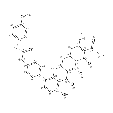 COc1ccc(OC(=O)Nc2ccc(-c3ccc(O)c4c3CC3CC5CC(O)=C(C(N)=O)C(=O)C5C(O)=C3C4=O)cc2)cc1